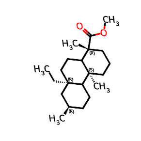 CC[C@]12CCC3[C@@](C)(CCC[C@@]3(C)C(=O)OC)C1CC[C@@H](C)C2